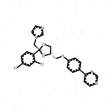 Clc1ccc([C@]2(Cn3ccnc3)OC[C@H](COc3ccc(-c4ccncn4)cc3)O2)c(Cl)c1